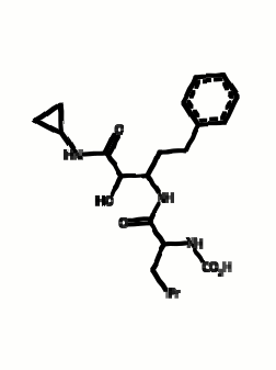 CC(C)CC(NC(=O)O)C(=O)NC(CCc1ccccc1)C(O)C(=O)NC1CC1